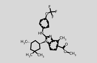 COC(=O)c1ccc2c(nc(Nc3ccc(OC(F)(F)F)cc3)n2[C@@H]2C[C@@H](C)CC(C)(C)C2)c1C